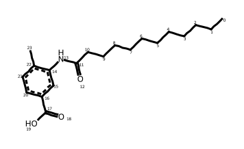 CCCCCCCCCCCC(=O)Nc1cc(C(=O)O)ccc1C